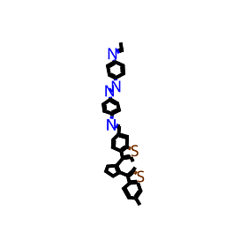 CC=Nc1ccc(N=Nc2ccc(/N=C/c3ccc4c(C5=C(c6c(C)sc7cc(C)ccc67)CCC5)c(C)sc4c3)cc2)cc1